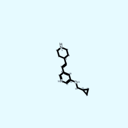 C(=CC1CCNCC1)c1cncc(OCC2CC2)c1